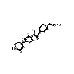 O=C(O)CN1CCC(C(=O)Nc2ccc(C3CCNCC3)cc2)CC1